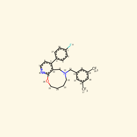 Fc1ccc(-c2ccnc3c2CN(Cc2cc(C(F)(F)F)cc(C(F)(F)F)c2)CCCCO3)cc1